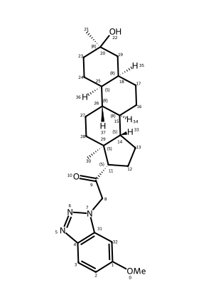 COc1ccc2nnn(CC(=O)[C@H]3CC[C@H]4[C@@H]5CC[C@@H]6C[C@](C)(O)CC[C@@H]6[C@H]5CC[C@]34C)c2c1